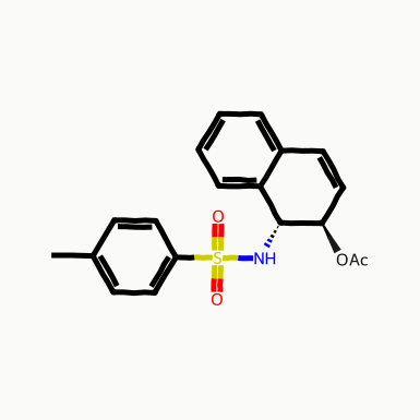 CC(=O)O[C@@H]1C=Cc2ccccc2[C@H]1NS(=O)(=O)c1ccc(C)cc1